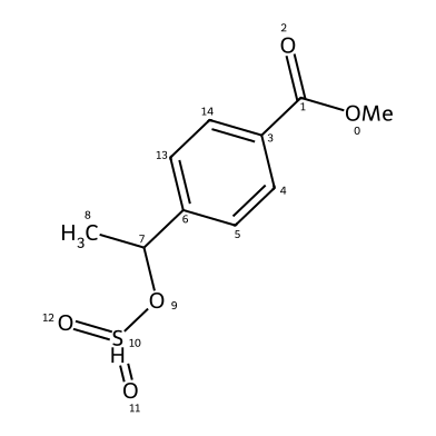 COC(=O)c1ccc(C(C)O[SH](=O)=O)cc1